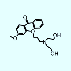 COc1ccc(C(=O)c2ccccc2)c(OCCCN(CCO)CCO)c1